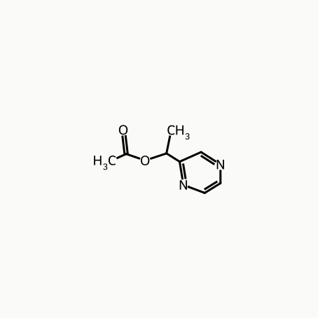 CC(=O)OC(C)c1cnccn1